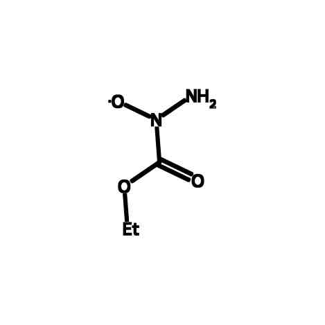 CCOC(=O)N(N)[O]